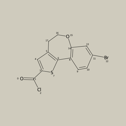 O=C(Cl)c1cc2c(s1)-c1ccc(Br)cc1OCC2